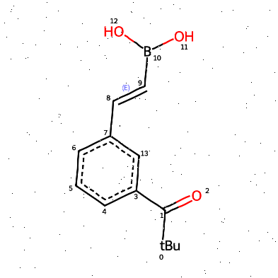 CC(C)(C)C(=O)c1cccc(/C=C/B(O)O)c1